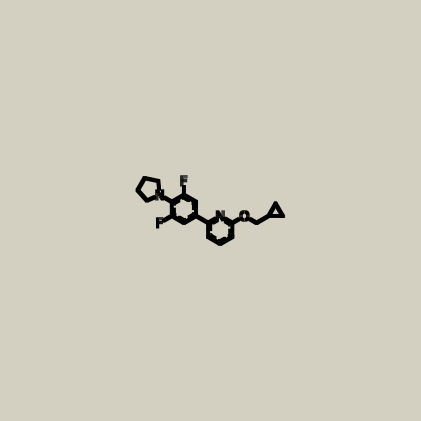 Fc1cc(-c2cccc(OCC3CC3)n2)cc(F)c1N1CCCC1